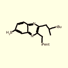 Bc1ccc2nc(CC(C)CCCC)c(CC(C)CCC)nc2c1